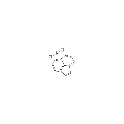 C1=Cc2cccc3cccc1c23.[Cl][Ni][Cl]